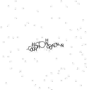 C[C@@H]1CC[C@@H]2[C@@](C)(CCC[C@@H](NC(=O)CC(=O)N3CCN(CCN(C)C)CC3)C1)CC[C@]1(C)[C@@H]3[C@H](C[C@@]21C)O[C@]1(CC[C@H](C)CO1)[C@H]3C